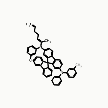 C=CCC/C=C(\C)N(c1cccc(C)c1)c1ccc2c(c1)C1(c3ccccc3-c3ccccc31)c1cc(N(C3=CCCC=C3)c3cccc(C)c3)ccc1-2